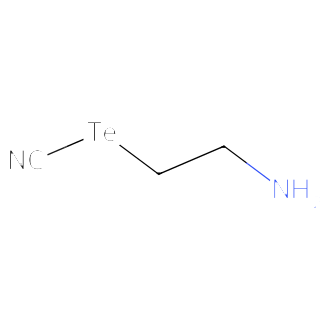 N#C[Te]CCN